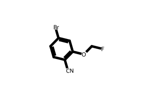 N#Cc1ccc(Br)cc1OCF